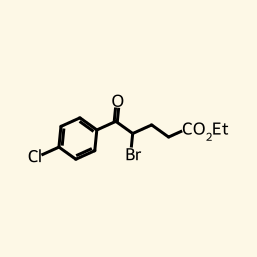 CCOC(=O)CCC(Br)C(=O)c1ccc(Cl)cc1